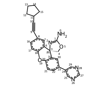 NC1=N[C@]2(CO1)c1cc(C#CC3CCCC3)ccc1Oc1ccc(-c3cncnc3)cc12